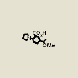 COC(C)c1ccc(N2CCCC2)c(C(=O)O)c1